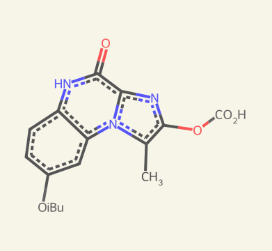 Cc1c(OC(=O)O)nc2c(=O)[nH]c3ccc(OCC(C)C)cc3n12